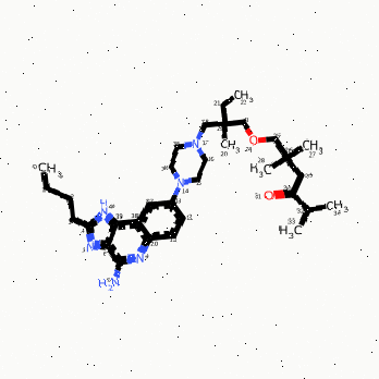 CCCCc1nc2c(N)nc3ccc(N4CCN(CC(C)(CC)COCC(C)(C)CC(=O)C(C)C)CC4)cc3c2[nH]1